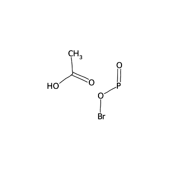 CC(=O)O.O=POBr